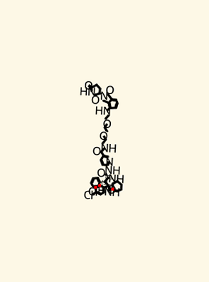 O=C1CCC(N2Cc3c(NCCOCCOCCNC(=O)c4ccc(NC(=O)[C@@H]5NC6(CCCCC6)[C@@]6(C(=O)Nc7cc(Cl)ccc76)[C@H]5c5cccc(Cl)c5F)nc4)cccc3C2=O)C(=O)N1